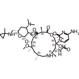 CC[C@H]1OC(=O)[C@H](C)C(=O)[C@H](C)[C@@H](O[C@@H]2O[C@H](CNC3(C)CC3)CC(N(C)C)C2O)[C@](C)(OC)C[C@@H](C)CN[C@H](C)[C@@H](NC=O)[C@@]1(O)n1ccc(N)nc1=O